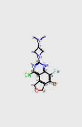 CN(C)C1CN(c2nc(Cl)c3c4c(c(Br)c(F)c3n2)COC4)C1